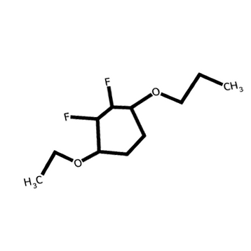 CCCOC1CCC(OCC)C(F)C1F